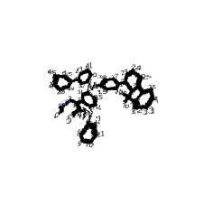 C/C=C\c1c(C)n(-c2ccccc2)c2ccc(N(c3ccc(-c4cccc5c4C(C)(C)c4ccccc4-5)cc3)c3cccc(-c4ccccc4)c3)cc12